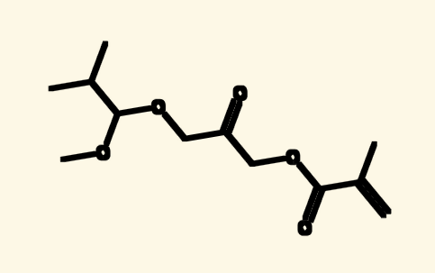 C=C(C)C(=O)OCC(=O)COC(OC)C(C)C